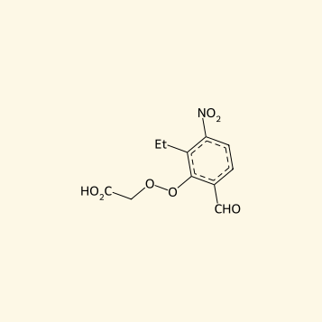 CCc1c([N+](=O)[O-])ccc(C=O)c1OOCC(=O)O